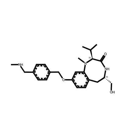 CNCc1ccc(COc2ccc3c(c2)N(C)[C@@H](C(C)C)C(=O)N[C@H](CO)C3)cc1